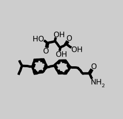 CC(C)c1ccc(-c2ccc(CCC(N)=O)cc2)cc1.O=C(O)C(O)C(O)C(=O)O